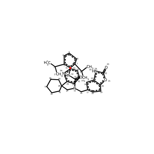 CC(C)c1cccc(C(C)C)c1NC(=O)N(Cc1ccc2oc(=O)[nH]c2c1)CC1(c2ccccn2)CCCCC1